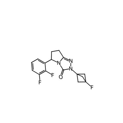 O=c1n(C23CC(F)(C2)C3)nc2n1C(c1cccc(F)c1F)CC2